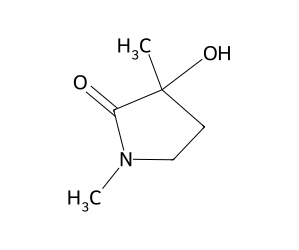 CN1CCC(C)(O)C1=O